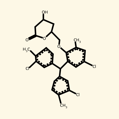 Cc1ccc(C(c2ccc(C)c(Cl)c2)c2cc(Cl)cc(C)c2OCC2CC(O)CC(=O)O2)cc1Cl